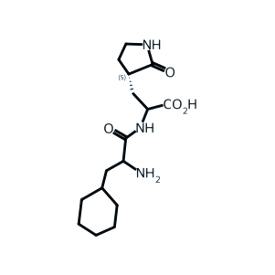 NC(CC1CCCCC1)C(=O)NC(C[C@@H]1CCNC1=O)C(=O)O